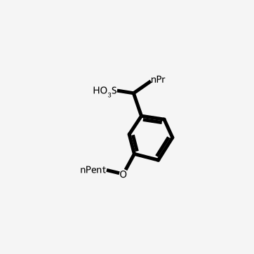 [CH2]CCC(c1cccc(OCCCCC)c1)S(=O)(=O)O